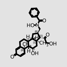 C[C@]12C[C@H](O)[C@H]3[C@@H](CCC4=CC(=O)C=C[C@@]43C)[C@@H]1C[C@@H](CN(O)C(=O)c1ccccc1)[C@@H]2C(=O)CO